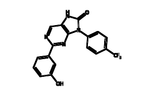 O=c1[nH]c2cnc(-c3cccc(O)c3)nc2n1-c1ccc(C(F)(F)F)cc1